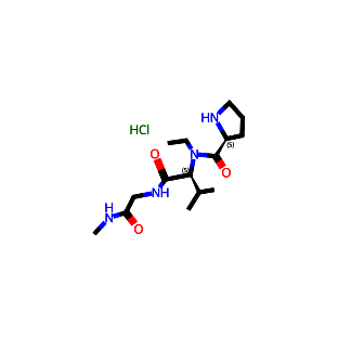 CCN(C(=O)[C@@H]1CCCN1)[C@H](C(=O)NCC(=O)NC)C(C)C.Cl